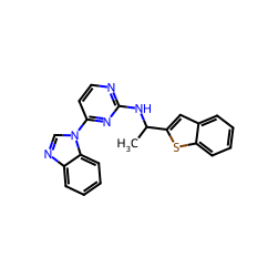 CC(Nc1nccc(-n2cnc3ccccc32)n1)c1cc2ccccc2s1